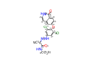 CCOC(=O)NC(=O)C(C#N)=NNc1cc(Cl)c(Oc2ccc3c(=O)[nH]ccc3c2)c(Cl)c1